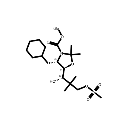 CC(C)(C)OC(=O)N1[C@@H](CC2CCCCC2)[C@H]([C@@H](O)C(C)(C)COS(C)(=O)=O)OC1(C)C